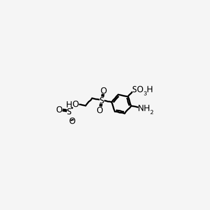 Nc1ccc(S(=O)(=O)CCO[SH](=O)=O)cc1S(=O)(=O)O